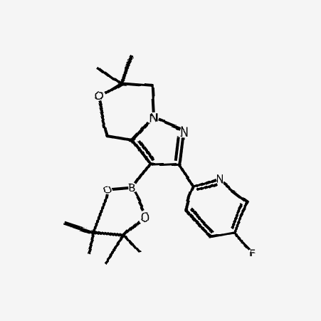 CC1(C)Cn2nc(-c3ccc(F)cn3)c(B3OC(C)(C)C(C)(C)O3)c2CO1